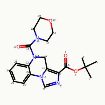 CC(C)(C)OC(=O)c1ncn2c1CN(C(=O)N1CCOCC1)c1ccccc1-2